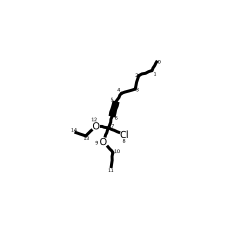 CCCCCC#CC(Cl)(OCC)OCC